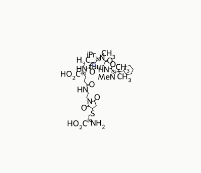 CN[C@H](C(=O)NC(C(=O)N(C)[C@H](/C=C(\C)C(=O)N[C@H](CCC(=O)NCCN1C(=O)CC(SC[C@H](N)C(=O)O)C1=O)C(=O)O)C(C)C)C(C)(C)C)C(C)(C)C1CCCCC1